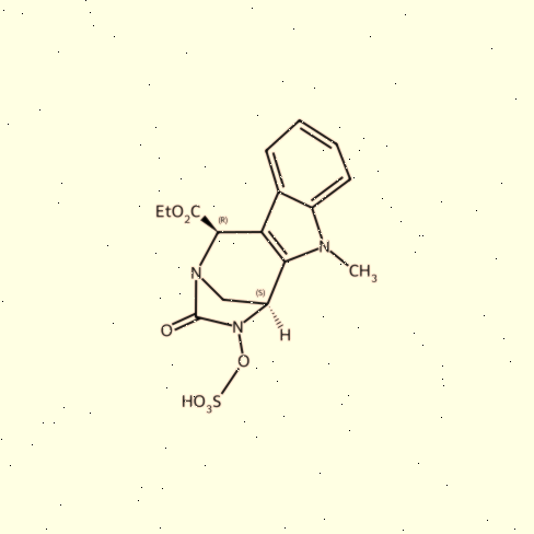 CCOC(=O)[C@H]1c2c(n(C)c3ccccc23)[C@@H]2CN1C(=O)N2OS(=O)(=O)O